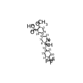 COc1ccc(-c2ccc(NCc3ccc(C(F)(F)F)cc3)nc2)cc1C(=O)O